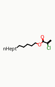 C=C(Cl)C(=O)OCCCCCCCCCCCC